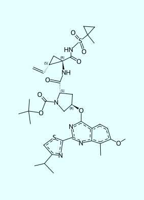 C=C[C@@H]1C[C@]1(NC(=O)[C@@H]1C[C@@H](Oc2nc(-c3nc(C(C)C)cs3)nc3c(C)c(OC)ccc23)CN1C(=O)OC(C)(C)C)C(=O)NS(=O)(=O)C1(C)CC1